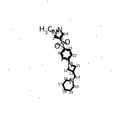 Cn1cc(S(=O)(=O)c2ccc(N3CC(CN4CC[CH]CC4)C3)cc2)cn1